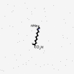 CCCCCC/C=C/CCCCCCCC(C)C(=O)O